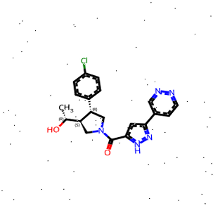 C[C@@H](O)[C@@H]1CN(C(=O)c2cc(-c3ccnnc3)n[nH]2)C[C@H]1c1ccc(Cl)cc1